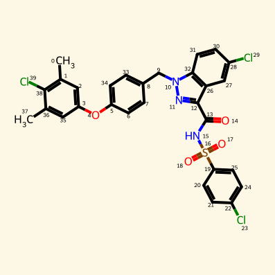 Cc1cc(Oc2ccc(Cn3nc(C(=O)NS(=O)(=O)c4ccc(Cl)cc4)c4cc(Cl)ccc43)cc2)cc(C)c1Cl